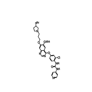 CCCC1CCN(CCCOc2cc3ncnc(Oc4ccc(NC(=O)Nc5ccncc5)c(Cl)c4)c3cc2OC)C1